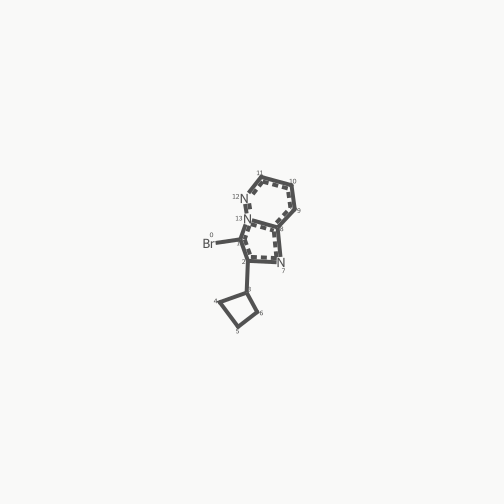 Brc1c(C2CCC2)nc2cccnn12